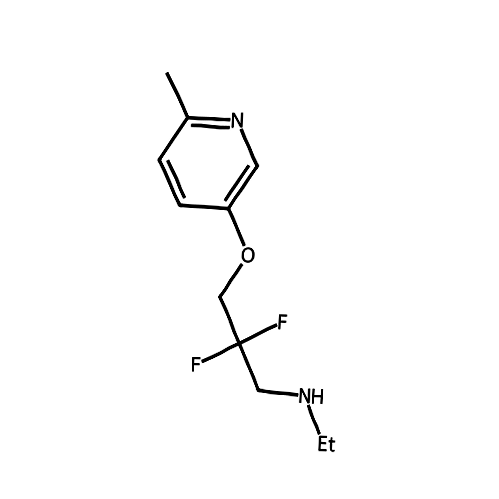 CCNCC(F)(F)COc1ccc(C)nc1